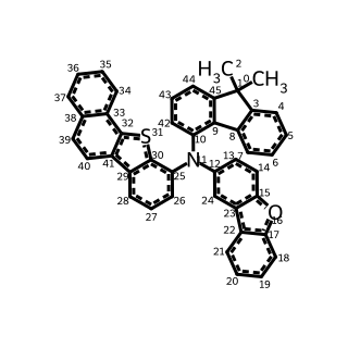 CC1(C)c2ccccc2-c2c(N(c3ccc4oc5ccccc5c4c3)c3cccc4c3sc3c5ccccc5ccc43)cccc21